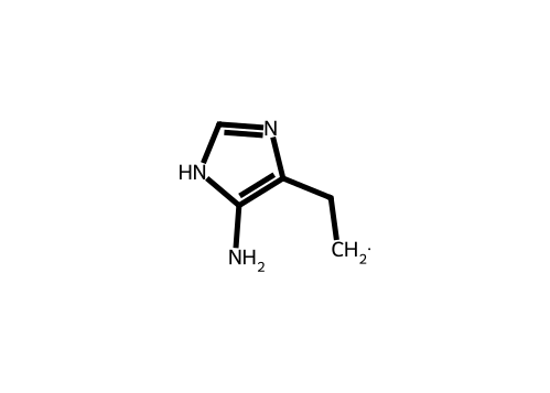 [CH2]Cc1nc[nH]c1N